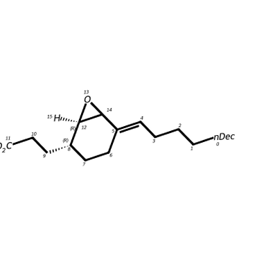 CCCCCCCCCCCCCC=C1CC[C@H](CCC(=O)O)[C@H]2OC12